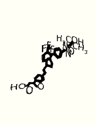 CC(C)(O)c1nc(-c2ccc(-c3c(C(F)(F)F)ccc4c3CCC4CCc3ccc4c(c3)OCC4CC(=O)O)cc2)no1